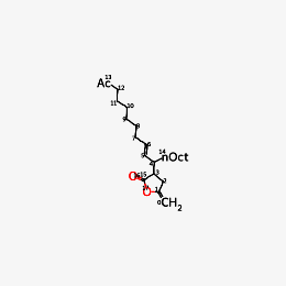 C=C1CC(C(/C=C/CCCCCCC(C)=O)CCCCCCCC)C(=O)O1